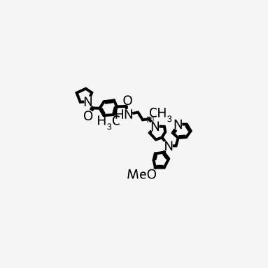 COc1ccc(N(Cc2cccnc2)C2CCN([C@H](C)CCNC(=O)c3ccc(C(=O)N4CCCC4)cc3C)CC2)cc1